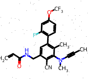 C=CC(=O)NCc1cc(-c2ccc(OC(F)(F)F)cc2F)c(C)c(N(C)C#CC)c1C#N